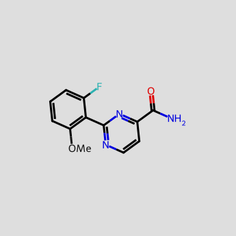 COc1cccc(F)c1-c1nccc(C(N)=O)n1